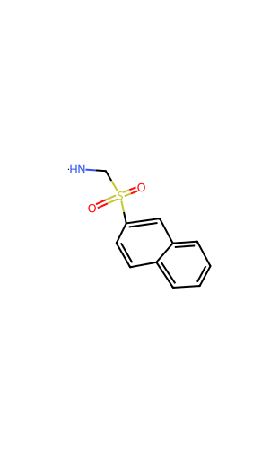 [NH]CS(=O)(=O)c1ccc2ccccc2c1